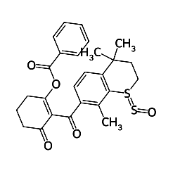 Cc1c(C(=O)C2=C(OC(=O)c3ccccc3)CCCC2=O)ccc2c1S(=S=O)CCC2(C)C